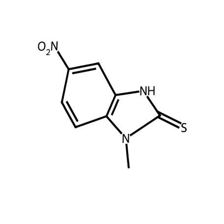 Cn1c(=S)[nH]c2cc([N+](=O)[O-])ccc21